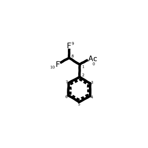 CC(=O)C(c1ccccc1)C(F)F